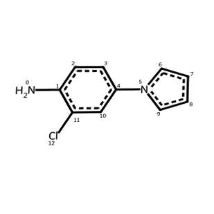 Nc1ccc(-n2cccc2)cc1Cl